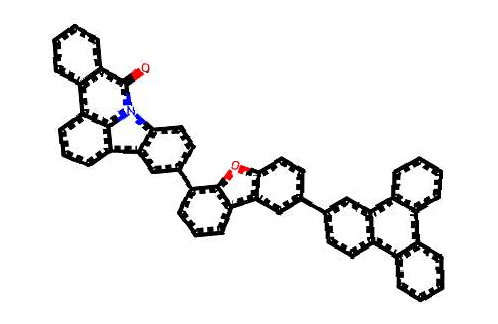 O=c1c2ccccc2c2cccc3c4cc(-c5cccc6c5oc5ccc(-c7ccc8c9ccccc9c9ccccc9c8c7)cc56)ccc4n1c23